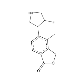 Cc1c(C2CNCC2F)ccc2c1COC2=O